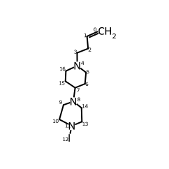 C=CCCN1CCC(N2CCN(I)CC2)CC1